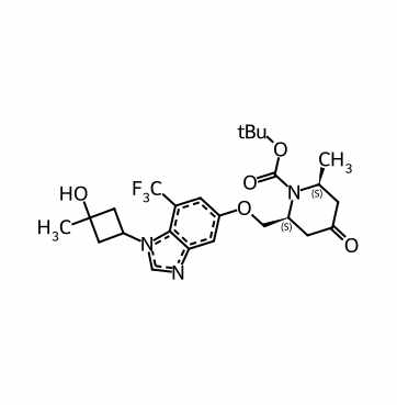 C[C@H]1CC(=O)C[C@@H](COc2cc(C(F)(F)F)c3c(c2)ncn3C2CC(C)(O)C2)N1C(=O)OC(C)(C)C